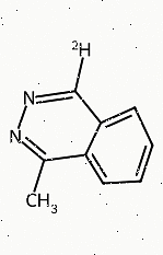 [2H]c1nnc(C)c2ccccc12